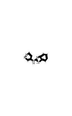 c1ccc2sc(Nc3ccnnc3)nc2c1